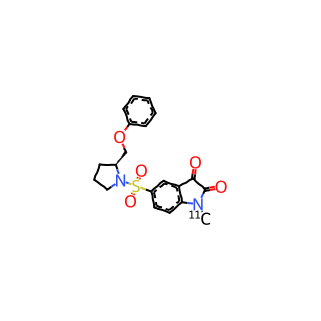 [11CH3]N1C(=O)C(=O)c2cc(S(=O)(=O)N3CCC[C@H]3COc3ccccc3)ccc21